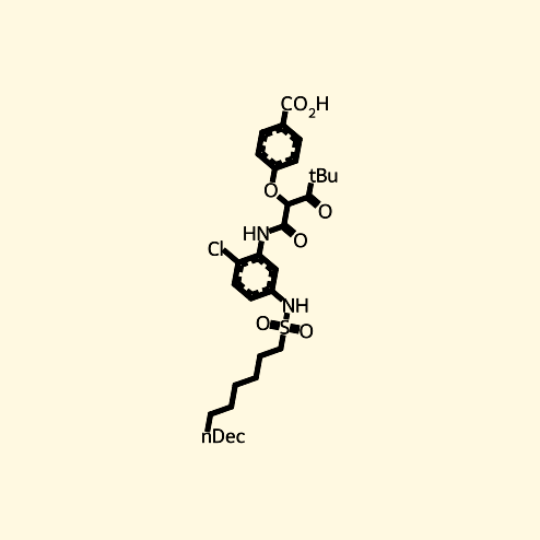 CCCCCCCCCCCCCCCCS(=O)(=O)Nc1ccc(Cl)c(NC(=O)C(Oc2ccc(C(=O)O)cc2)C(=O)C(C)(C)C)c1